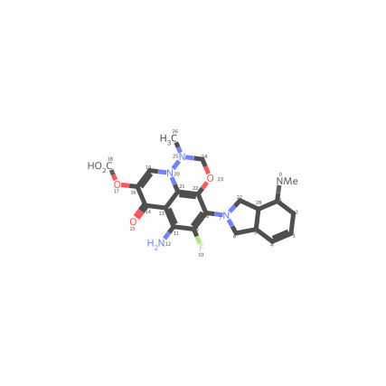 CNC1CC=CC2CN(c3c(F)c(N)c4c(=O)c(OC(=O)O)cn5c4c3OCN5C)CC21